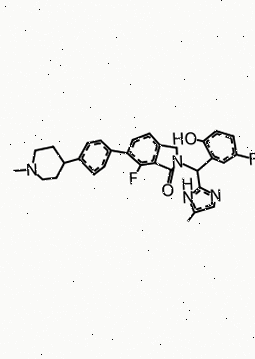 Cc1cnc(C(c2cc(F)ccc2O)N2Cc3ccc(-c4ccc(C5CCN(C)CC5)cc4)c(F)c3C2=O)[nH]1